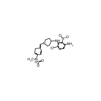 CN(C1=CCC(=CN2CCC(Nc3c(Cl)ccc(N)c3[N+](=O)[O-])CC2)C=C1)[SH](=O)=O